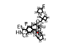 CCC(=N)c1c(Cl)cc2c(N3CC4CCC(C3)N4C(=O)OC(C)(C)C)nc(OCC3(CN4CC[C@@H](F)C4)CCC3)nc2c1F